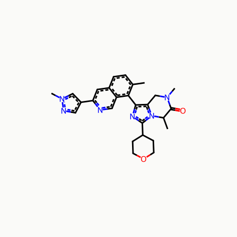 Cc1ccc2cc(-c3cnn(C)c3)ncc2c1-c1nc(C2CCOCC2)n2c1CN(C)C(=O)C2C